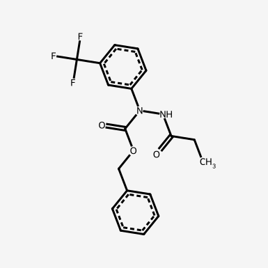 CCC(=O)NN(C(=O)OCc1ccccc1)c1cccc(C(F)(F)F)c1